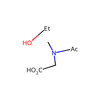 CC(=O)N(C)CC(=O)O.CCO